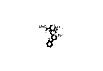 COC(=O)C1=CO[C@@H](C)[C@H]2C[n+]3ccc4c([n-]c5ccccc54)c3C[C@H]12.[Pt+2]